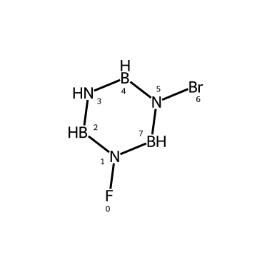 FN1BNBN(Br)B1